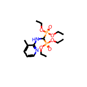 CCOP(=O)(OCC)C(Nc1ncccc1C)P(=O)(OCC)OCC